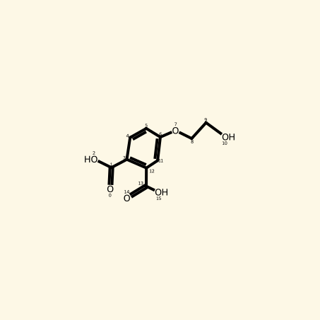 O=C(O)c1ccc(OCCO)cc1C(=O)O